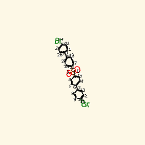 O=S(=O)(c1ccc(-c2ccc(Br)cc2)cc1)c1ccc(-c2ccc(Br)cc2)cc1